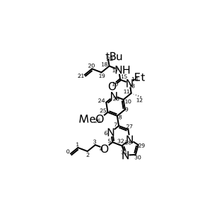 C=CCCOc1nc(-c2cc([C@@H](C)N(CC)C(=O)NC(CC=C)C(C)(C)C)ncc2OC)cn2ccnc12